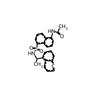 CC(=O)Nc1cccc2c(S(=O)(=O)NC(C)c3cccc4ccccc34)cccc12